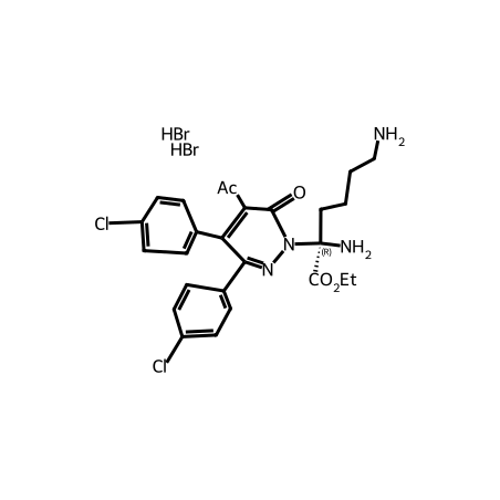 Br.Br.CCOC(=O)[C@@](N)(CCCCN)n1nc(-c2ccc(Cl)cc2)c(-c2ccc(Cl)cc2)c(C(C)=O)c1=O